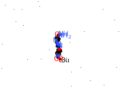 CC(C)(C)OC(=O)N1CCc2cc(-c3cn(Cc4ccc(C(=O)NN)cn4)nn3)ccc2C1